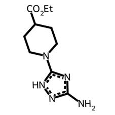 CCOC(=O)C1CCN(c2nc(N)n[nH]2)CC1